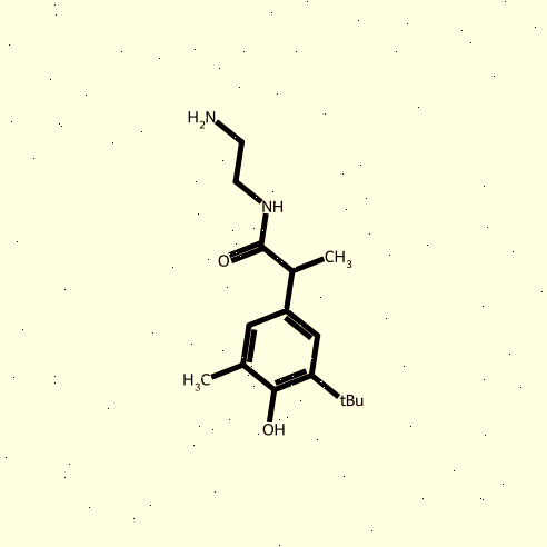 Cc1cc(C(C)C(=O)NCCN)cc(C(C)(C)C)c1O